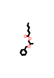 C/C=C/C=C/C(=O)OCC(C)OCc1ccccc1